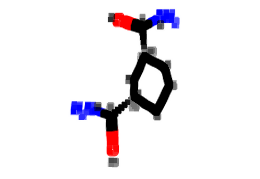 NC(=O)[C@@H]1CCC[C@H](C(N)=O)C1